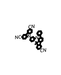 CC1(C)c2ccc(C#N)cc2-c2ccc3c4ccccc4n(-c4cccc(-n5c6ccc(C#N)cc6c6cc(C#N)ccc65)c4)c3c21